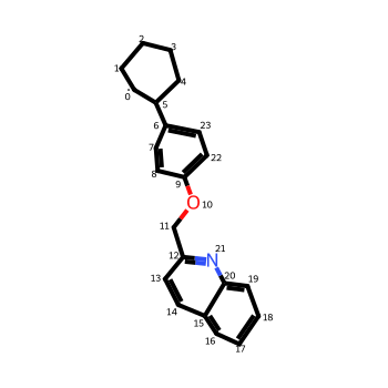 [CH]1CCCCC1c1ccc(OCc2ccc3ccccc3n2)cc1